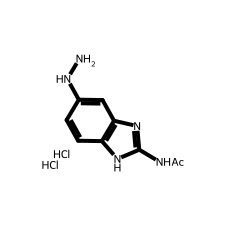 CC(=O)Nc1nc2cc(NN)ccc2[nH]1.Cl.Cl